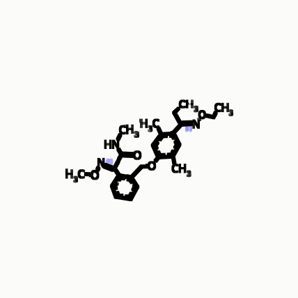 CCO/N=C(\CC)c1cc(C)c(OCc2ccccc2/C(=N\OC)C(=O)NC)cc1C